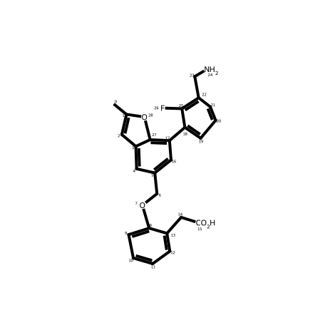 Cc1cc2cc(COc3ccccc3CC(=O)O)cc(-c3cccc(CN)c3F)c2o1